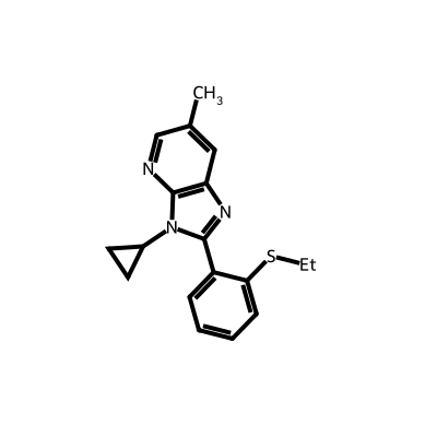 CCSc1ccccc1-c1nc2cc(C)cnc2n1C1CC1